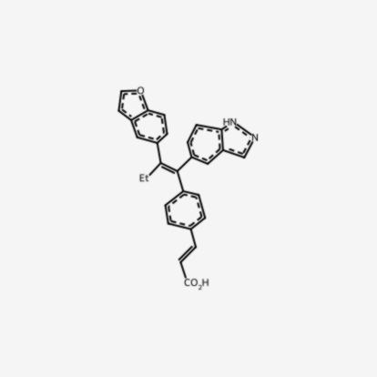 CCC(=C(c1ccc(C=CC(=O)O)cc1)c1ccc2[nH]ncc2c1)c1ccc2occc2c1